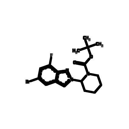 CC(C)(C)OC(=O)N1CCCCC1n1cc2cc(Br)cc(F)c2n1